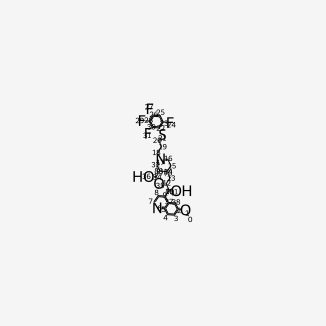 COc1ccc2nccc([C@H](O)CC[C@@H]3CCN(CCCSc4c(F)cc(F)c(F)c4F)C[C@@H]3C(=O)O)c2c1